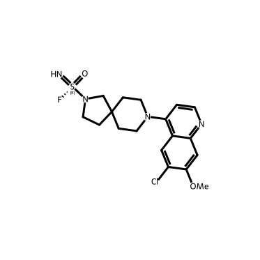 COc1cc2nccc(N3CCC4(CC3)CCN([S@@](=N)(=O)F)C4)c2cc1Cl